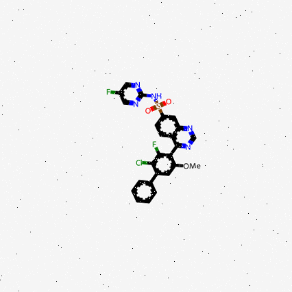 COc1cc(-c2ccccc2)c(Cl)c(F)c1-c1ncnc2cc(S(=O)(=O)Nc3ncc(F)cn3)ccc12